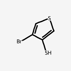 Sc1cscc1Br